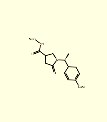 CONC(=O)C1CC(=O)N([C@@H](C)C2C=CC(OC)=CC2)C1